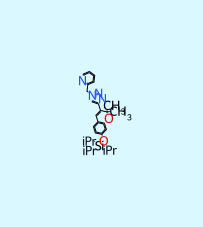 CC(C)[Si](Oc1ccc2c(c1)OC(C)(C)C(c1cn(Cc3ccccn3)nn1)=C2)(C(C)C)C(C)C